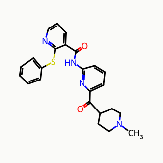 CN1CCC(C(=O)c2cccc(NC(=O)c3cccnc3Sc3ccccc3)n2)CC1